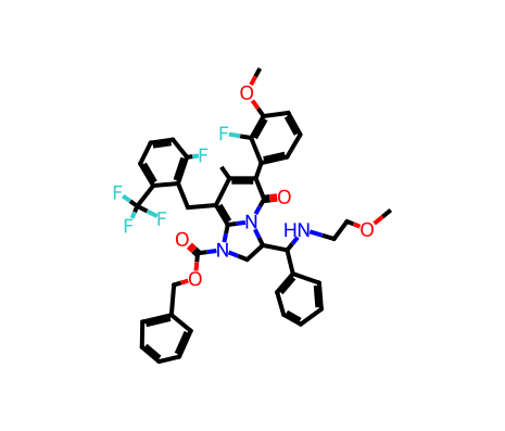 COCCNC(c1ccccc1)C1CN(C(=O)OCc2ccccc2)c2c(Cc3c(F)cccc3C(F)(F)F)c(C)c(-c3cccc(OC)c3F)c(=O)n21